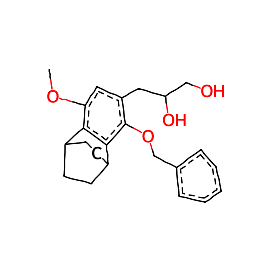 COc1cc(CC(O)CO)c(OCc2ccccc2)c2c1C1CCC2CC1